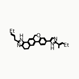 CCC=CCc1nc2c([nH]1)-c1cc3c(cc1CC2)-c1ccc(-c2cnc(C(C)=CCC)[nH]2)cc1OC3